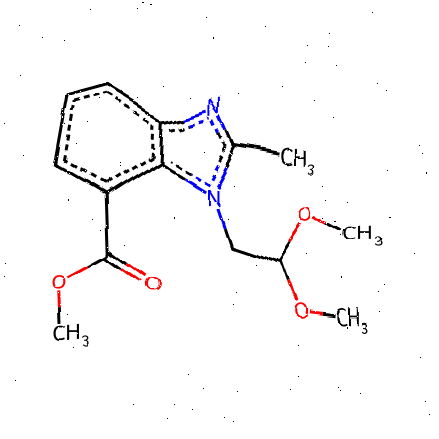 COC(=O)c1cccc2nc(C)n(CC(OC)OC)c12